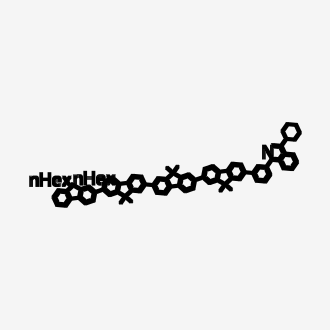 CCCCCCC1(CCCCCC)c2ccccc2-c2ccc(-c3ccc4c(c3)C(C)(C)c3cc(-c5ccc6c(c5)C(C)(C)c5cc(-c7ccc8c(c7)C(C)(C)c7cc(-c9cccc(-c%10ncc(C%11CCCCC%11)c%11ccccc%10%11)c9)ccc7-8)ccc5-6)ccc3-4)cc21